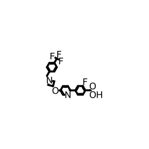 O=C(O)c1ccc(-c2ccc(OC3CN(Cc4ccc(C(F)(F)F)cc4)C3)cn2)cc1F